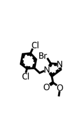 COC(=O)c1cnc(Br)n1Cc1cc(Cl)ccc1Cl